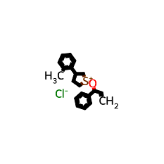 C=CC(O[S+]1CCC(c2ccccc2C)C1)c1ccccc1.[Cl-]